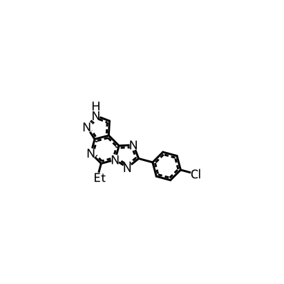 CCc1nc2n[nH]cc2c2nc(-c3ccc(Cl)cc3)nn12